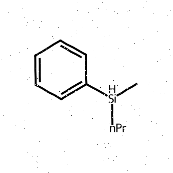 CCC[SiH](C)c1ccccc1